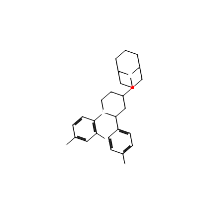 Clc1ccc(C2CC(CB3C4CCCC3CCC4)CCN2c2ccc(Cl)cc2Cl)cc1